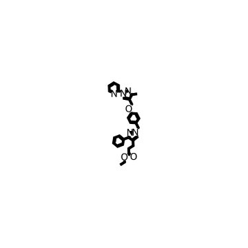 CCOC(=O)CCc1cn(Cc2ccc(OCc3cn(-c4ccccn4)nc3C)cc2)nc1-c1ccccc1